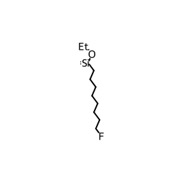 CCO[Si]CCCCCCCCF